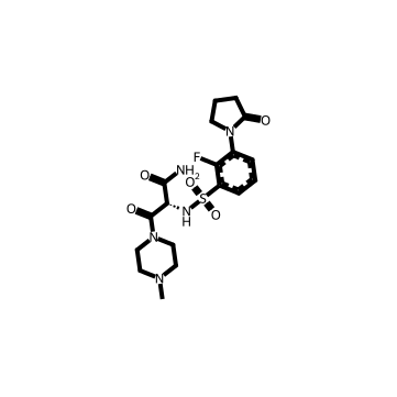 CN1CCN(C(=O)[C@@H](NS(=O)(=O)c2cccc(N3CCCC3=O)c2F)C(N)=O)CC1